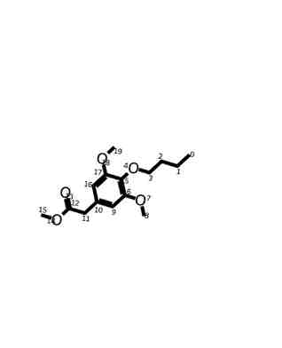 CCCCOc1c(OC)cc(CC(=O)OC)cc1OC